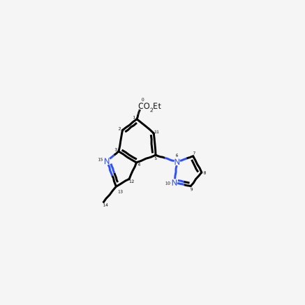 CCOC(=O)c1cc2c(c(-n3cccn3)c1)CC(C)=N2